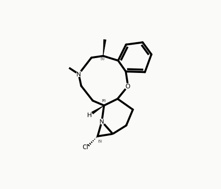 C[C@@H]1CN(C)CC[C@@H]2C(CCC3[C@H](Cl)N32)Oc2ccccc21